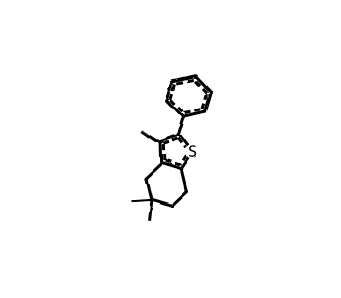 Cc1c(-c2ccccc2)sc2c1CC(C)(C)CC2